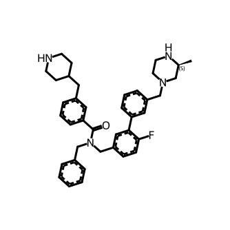 C[C@H]1CN(Cc2cccc(-c3cc(CN(Cc4ccccc4)C(=O)c4cccc(CC5CCNCC5)c4)ccc3F)c2)CCN1